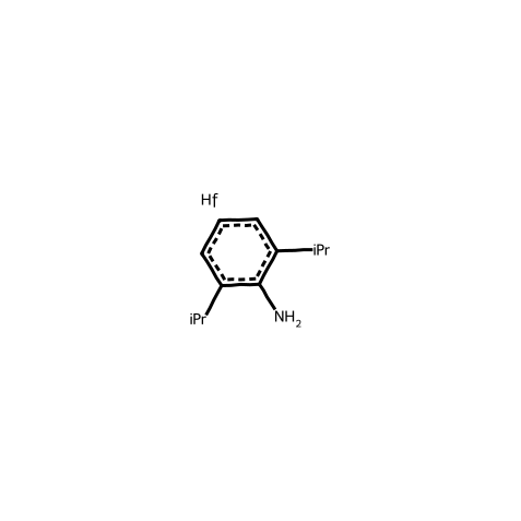 CC(C)c1cccc(C(C)C)c1N.[Hf]